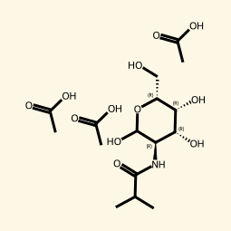 CC(=O)O.CC(=O)O.CC(=O)O.CC(C)C(=O)N[C@H]1C(O)O[C@H](CO)[C@H](O)[C@@H]1O